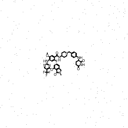 COc1cc(C(=O)NC2CCN(Cc3ccc(NC4CCC(=O)NC4=O)cc3)CC2)c(F)cc1Nc1ncc(C(F)(F)F)c(Oc2cccc3c2C(=O)N(C)C3)n1